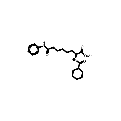 COC(=O)C(CCCCCC(=O)Nc1ccccc1)NC(=O)C1CCCCC1